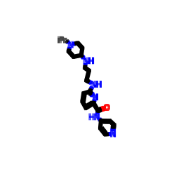 CC(C)N1CCC(NCCCNc2cccc(C(=O)Nc3ccncc3)n2)CC1